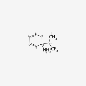 CC(C(F)(F)F)C1(N)C=CC=CC1